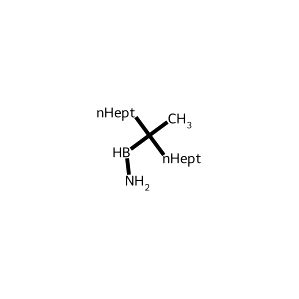 CCCCCCCC(C)(BN)CCCCCCC